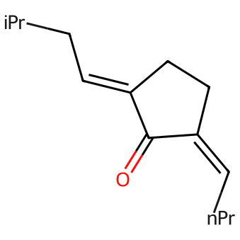 CCCC=C1CCC(=CCC(C)C)C1=O